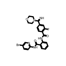 N=C(c1ccc(C(=O)Nc2ccccc2C(=O)Nc2ccc(Br)cn2)c(F)c1)N1CCOCC1